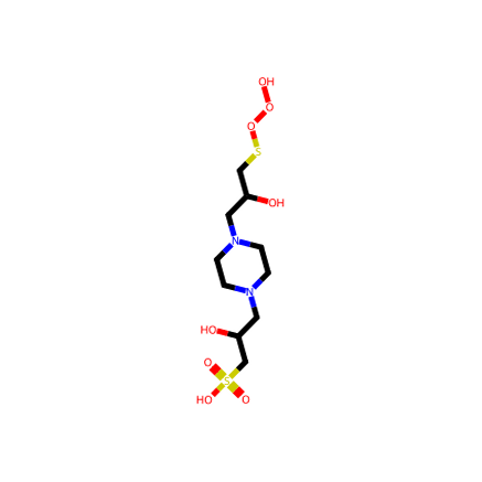 O=S(=O)(O)CC(O)CN1CCN(CC(O)CSOOO)CC1